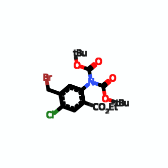 CCOC(=O)c1cc(Cl)c(CBr)cc1N(C(=O)OC(C)(C)C)C(=O)OC(C)(C)C